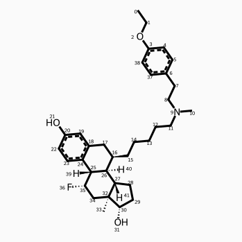 CCOc1ccc(CCN(C)CCCCC[C@@H]2Cc3cc(O)ccc3[C@@H]3[C@@H]2[C@@H]2CC[C@H](O)[C@@]2(C)C[C@@H]3F)cc1